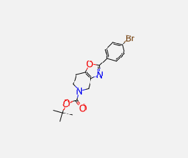 CC(C)(C)OC(=O)N1CCc2oc(-c3ccc(Br)cc3)nc2C1